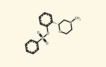 CN1CCO[C@H](c2ccccc2OS(=O)(=O)c2ccccc2)C1